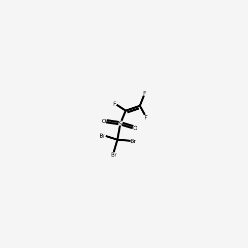 O=S(=O)(C(F)=C(F)F)C(Br)(Br)Br